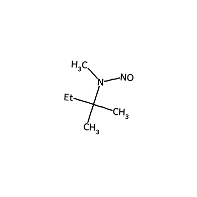 [CH2]CC(C)(C)N(C)N=O